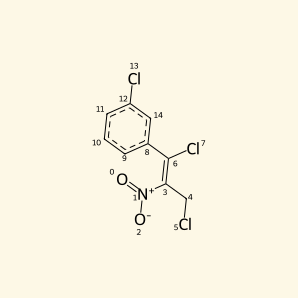 O=[N+]([O-])C(CCl)=C(Cl)c1cccc(Cl)c1